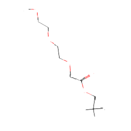 COCCOCCOCC(=O)OCC(C)(C)C